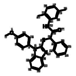 COc1ccc(-n2c(SC(C(=O)Nc3cc(C)ccc3C)c3ccccc3)nc3ccccc32)cc1